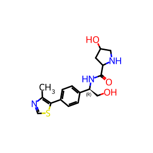 Cc1ncsc1-c1ccc([C@H](CO)NC(=O)C2CC(O)CN2)cc1